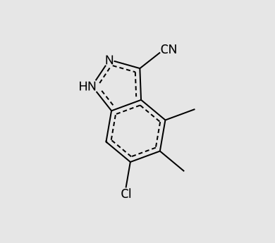 Cc1c(Cl)cc2[nH]nc(C#N)c2c1C